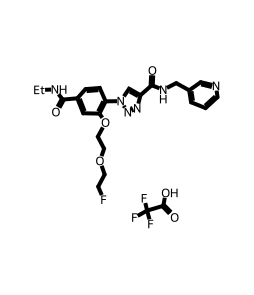 CCNC(=O)c1ccc(-n2cc(C(=O)NCc3cccnc3)nn2)c(OCCOCCF)c1.O=C(O)C(F)(F)F